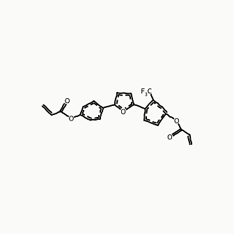 C=CC(=O)Oc1ccc(-c2ccc(-c3ccc(OC(=O)C=C)cc3C(F)(F)F)o2)cc1